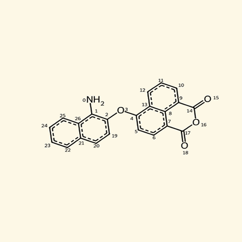 Nc1c(Oc2ccc3c4c(cccc24)C(=O)OC3=O)ccc2ccccc12